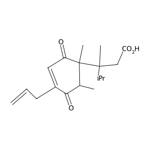 C=CCC1=CC(=O)C(C)(C(C)(CC(=O)O)C(C)C)C(C)C1=O